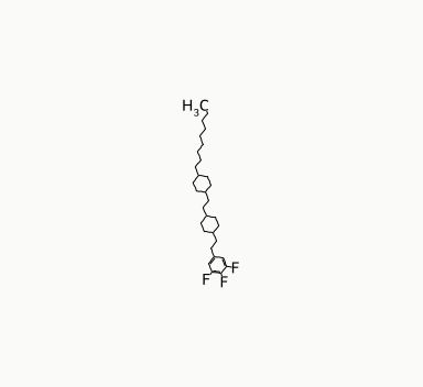 CCCCCCCCCC1CCC(CCC2CCC(CCc3cc(F)c(F)c(F)c3)CC2)CC1